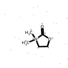 C[N+]1(C)CCOC1=O